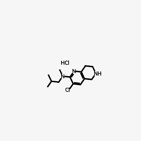 CC(C)CN(C)c1nc2c(cc1Cl)CNCC2.Cl